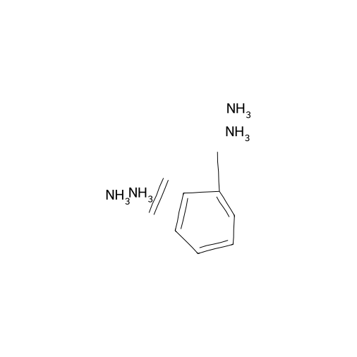 C=C.Cc1ccccc1.N.N.N.N